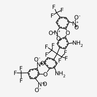 Nc1cc(C(c2ccc(Oc3c([N+](=O)[O-])cc(C(F)(F)F)cc3[N+](=O)[O-])c(N)c2)(C(F)(F)F)C(F)(F)F)ccc1Oc1c([N+](=O)[O-])cc(C(F)(F)F)cc1[N+](=O)[O-]